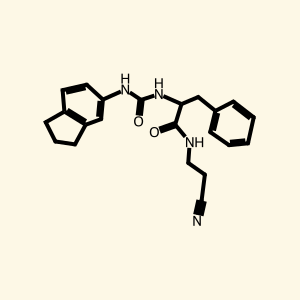 N#CCCNC(=O)C(Cc1ccccc1)NC(=O)Nc1ccc2c(c1)CCC2